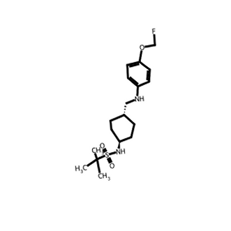 CC(C)(C)S(=O)(=O)N[C@H]1CC[C@H](CNc2ccc(OCF)cc2)CC1